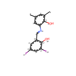 Cc1cc(C)c(O)c(N=Cc2cc(I)cc(I)c2O)c1